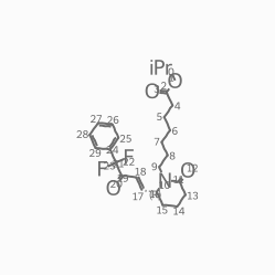 CC(C)OC(=O)CCCCCCN1C(=O)CCC[C@@H]1C=CC(=O)C(F)(F)c1ccccc1